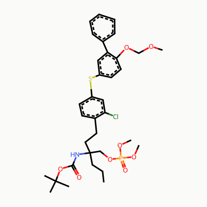 CCCC(CCc1ccc(Sc2ccc(OCOC)c(-c3ccccc3)c2)cc1Cl)(COP(=O)(OC)OC)NC(=O)OC(C)(C)C